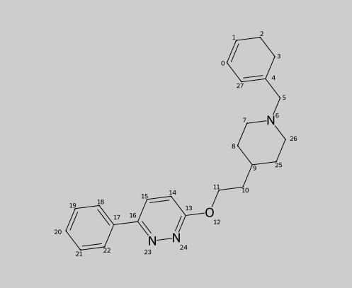 C1=CCCC(CN2CCC(CCOc3ccc(-c4ccccc4)nn3)CC2)=C1